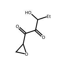 CCC(O)C(=O)C(=O)C1CO1